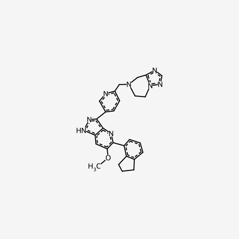 COc1cc2[nH]nc(-c3ccc(CN4CCn5ncnc5C4)nc3)c2nc1-c1cccc2c1CCC2